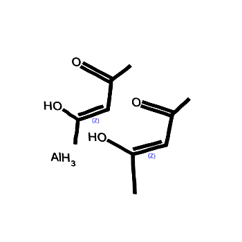 CC(=O)/C=C(/C)O.CC(=O)/C=C(/C)O.[AlH3]